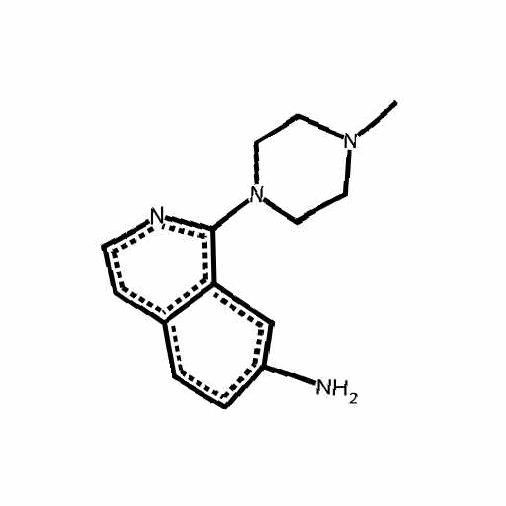 CN1CCN(c2nccc3ccc(N)cc23)CC1